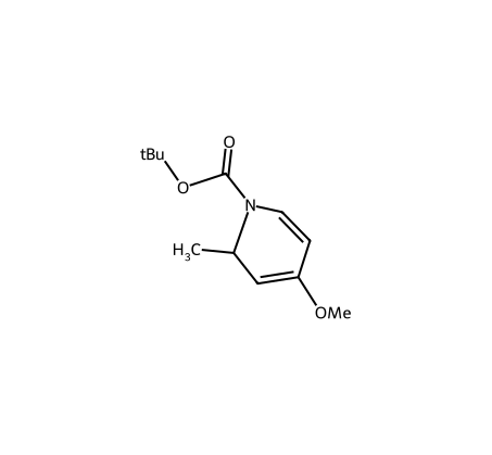 COC1=CC(C)N(C(=O)OC(C)(C)C)C=C1